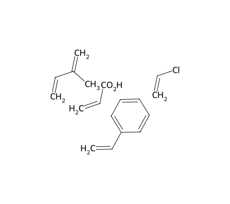 C=CC(=C)C.C=CC(=O)O.C=CCl.C=Cc1ccccc1